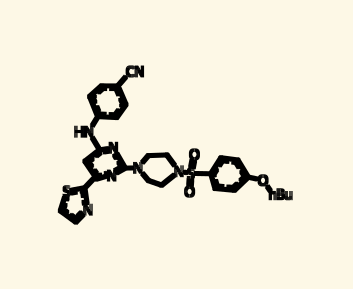 CCCCOc1ccc(S(=O)(=O)N2CCN(c3nc(Nc4ccc(C#N)cc4)cc(-c4nccs4)n3)CC2)cc1